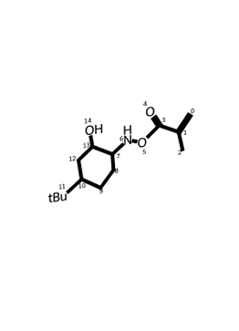 C=C(C)C(=O)ONC1CCC(C(C)(C)C)CC1O